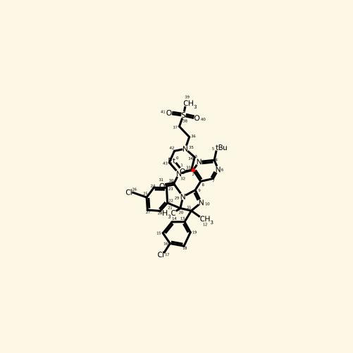 CCOc1nc(C(C)(C)C)ncc1C1=NC(C)(c2ccc(Cl)cc2)C(C)(c2ccc(Cl)cc2)N1C(=O)N1CCN(CCS(C)(=O)=O)CC1